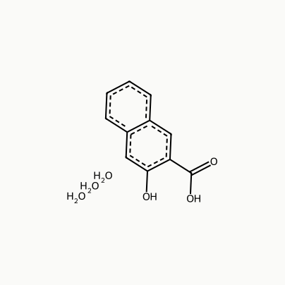 O.O.O.O=C(O)c1cc2ccccc2cc1O